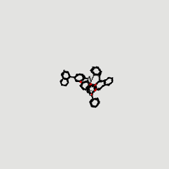 c1ccc(-c2ccc(N(c3ccc(-c4cccc5ccccc45)cc3)c3ccccc3-c3c4ccccc4cc4oc5ccccc5c34)cc2)cc1